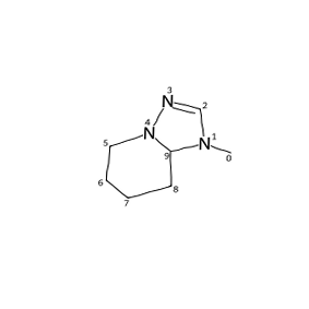 CN1C=NN2CCCCC12